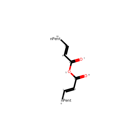 CCCCCC=CC(=O)OC(=O)C=CCCCCC